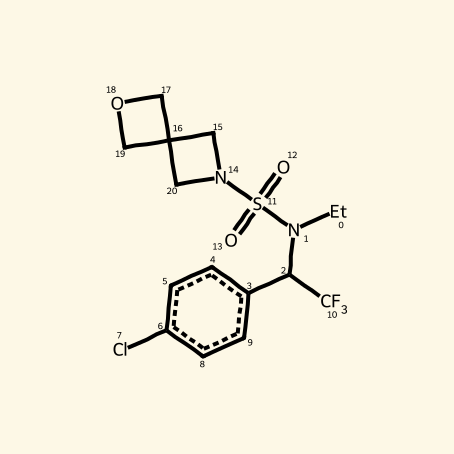 CCN(C(c1ccc(Cl)cc1)C(F)(F)F)S(=O)(=O)N1CC2(COC2)C1